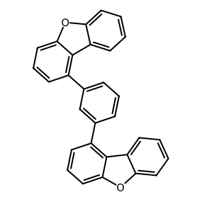 c1cc(-c2cccc3oc4ccccc4c23)cc(-c2cccc3oc4ccccc4c23)c1